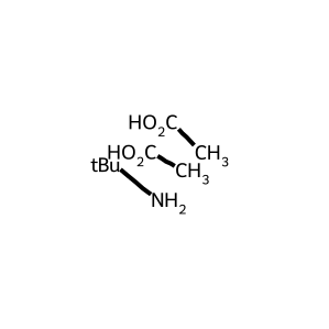 CC(=O)O.CC(=O)O.CC(C)(C)N